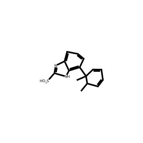 CC1C=CC=CC1(C)c1cccc2nc(S(=O)(=O)O)[nH]c12